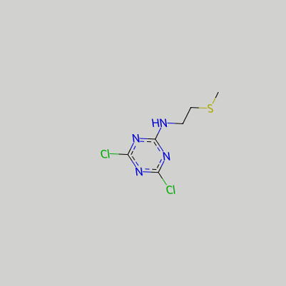 CSCCNc1nc(Cl)nc(Cl)n1